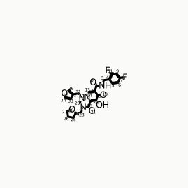 O=C(NCc1ccc(F)cc1F)c1cn2c(c(O)c1=O)C(=O)N(C[C@H]1CCCO1)CN2Cc1ccoc1